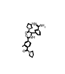 Cc1cc(C(=O)NC(C(=O)N2CCCC2)c2cccc(C(=N)N)c2)ccc1C(=O)N1CCCC1